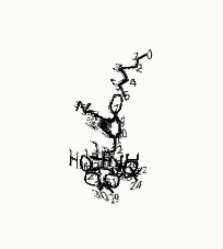 CCCCCCCOc1ccc(CCC(CO)(NC(=O)OC(C)(C)C)C2COC(C)(C)OC2)cc1C#N